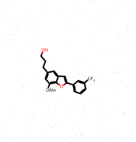 COc1cc(CCCO)cc2cc(-c3cccc(C(F)(F)F)c3)oc12